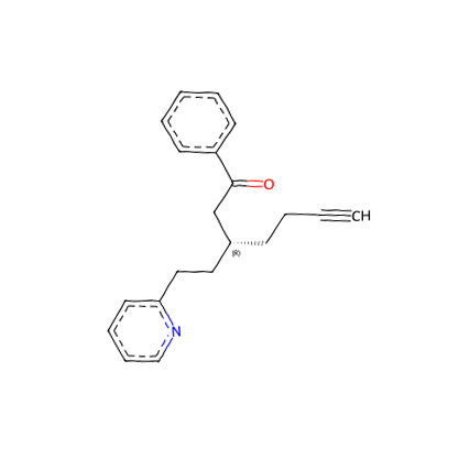 C#CCC[C@H](CCc1ccccn1)CC(=O)c1ccccc1